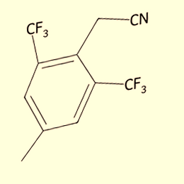 Cc1cc(C(F)(F)F)c(CC#N)c(C(F)(F)F)c1